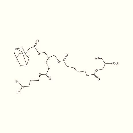 CCCCCCCCC(CCCCCC)COC(=O)CCCCCC(=O)OCC(COC(=O)CC12CC3CC(CC(C3)C1)C2)COC(=O)OCCCN(CC)CC